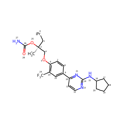 CC(C)C[C@@](C)(COc1ccc(-c2ccnc(NC3CCCC3)n2)cc1C(F)(F)F)OC(N)=O